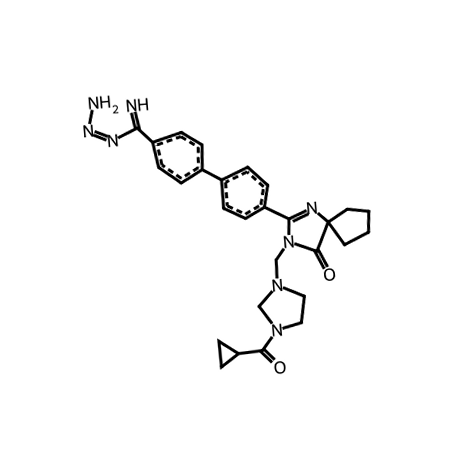 N=C(/N=N\N)c1ccc(-c2ccc(C3=NC4(CCCC4)C(=O)N3CN3CCN(C(=O)C4CC4)C3)cc2)cc1